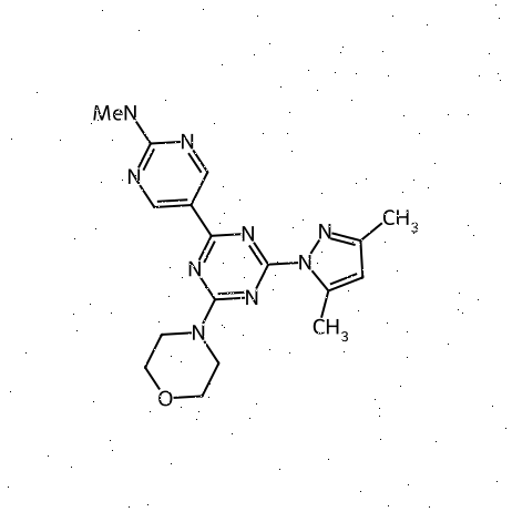 CNc1ncc(-c2nc(N3CCOCC3)nc(-n3nc(C)cc3C)n2)cn1